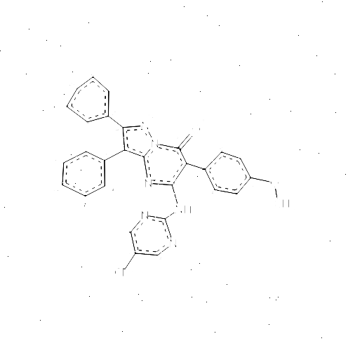 COc1ccc(-c2c(Nc3ncc(Cl)cn3)[nH]c3c(-c4ccccc4)c(-c4ccccc4)nn3c2=O)cc1